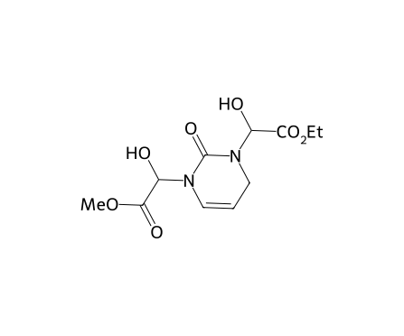 CCOC(=O)C(O)N1CC=CN(C(O)C(=O)OC)C1=O